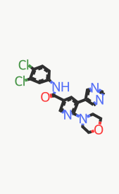 O=C(Nc1ccc(Cl)c(Cl)c1)c1cnc(N2CCOCC2)c(-c2cncnc2)c1